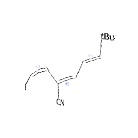 C\C=C/C(C#N)=C\C=C\C(C)(C)C